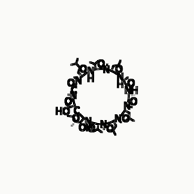 CC[C@@H]1CC(=O)[C@H]([C@H](O)[C@H](C)CCO)N(C)C(=O)[C@H](C(C)C)N(C)C(=O)[C@H](CC(C)C)N(C)C(=O)[C@H](CC(C)C)N(C)C(=O)[C@@H](C)NC(=O)[C@H](C)NC(=O)[C@H](CC(C)C)N(C)C(=O)[C@H](C(C)C)NC(=O)[C@H](CCC(C)C)N(C)C(=O)CN(C)C1=O